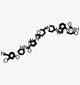 N#Cc1ccc(O[C@H]2CC[C@H](NC(=O)c3ccc(N4CC5(CCC(CN6CCC(n7ncc8c(N9CCC(=O)NC9=O)cccc87)CC6)CO5)C4)nn3)CC2)cc1Cl